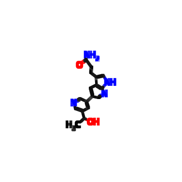 CC(O)c1cncc(-c2cnc3[nH]cc(C=CC(N)=O)c3c2)c1